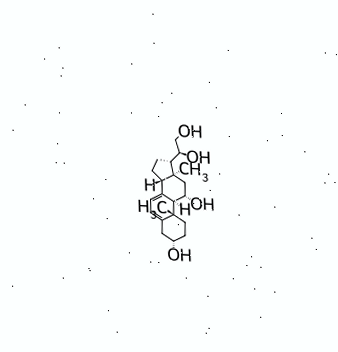 C[C@]12C[C@H](O)[C@@H]3C(=CC=C4C[C@@H](O)CC[C@]43C)[C@@H]1CC[C@@H]2[C@H](O)CO